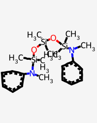 CN(c1ccccc1)[Si](C)(C)O[Si](C)(C)O[Si](C)(C)N(C)c1ccccc1